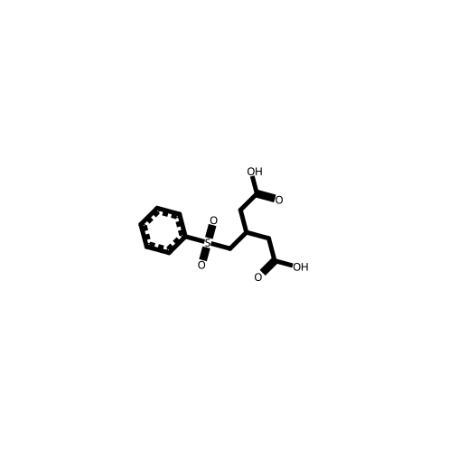 O=C(O)CC(CC(=O)O)CS(=O)(=O)c1ccccc1